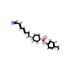 CCc1ccc(OC(=O)[C@H]2CC[C@H](CCC=CC=CC#N)CC2)cc1